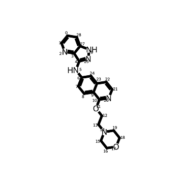 c1cnc2c(Nc3ccc4c(OCCN5CCOCC5)nccc4c3)n[nH]c2c1